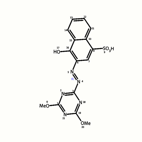 COc1nc(/N=N/c2cc(S(=O)(=O)O)c3ccccc3c2O)nc(OC)n1